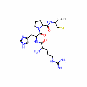 N=C(N)NCCCC(N)C(=O)NC(Cc1c[nH]cn1)C(=O)N1CCCC1C(=O)NC(CS)C(=O)O